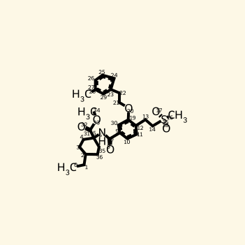 CCC1CCC(NC(=O)c2ccc(CCS(C)(=O)=O)c(OCCc3cccc(C)c3)c2)(C(=O)OC)CC1